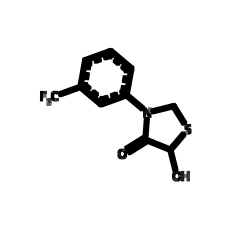 O=C1C(O)SCN1c1cccc(C(F)(F)F)c1